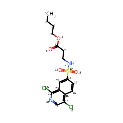 CCCCOC(=O)CCNS(=O)(=O)c1ccc2c(Cl)cnc(Cl)c2c1